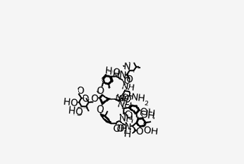 CC(=O)C1NC(=O)C2NC(=O)C(NC(=O)C3NC(=O)C(CC(N)=O)NC(=O)C(NC(=O)C(CC(C)C)N(C)C)C(O)c4ccc(c(C)c4)Oc4cc3cc(c4OCC3OC(C=O)C(O)C(O)C3C)Oc3ccc(cc3C)C2O)c2ccc(O)c(c2)-c2c1cc(O)c(C)c2O